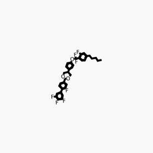 CCCCCc1ccc(C(F)(F)Oc2ccc(C3COC(c4ccc(-c5cc(F)c(F)c(F)c5)c(F)c4)OC3)cc2)c(F)c1